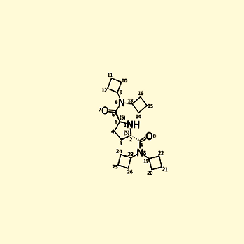 O=C([C@@H]1CC[C@@H](C(=O)N(C2CCC2)C2CCC2)N1)N(C1CCC1)C1CCC1